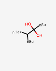 CCCCCCC(CCCC)C(O)(O)CCCC